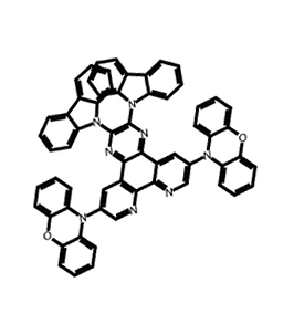 c1ccc2c(c1)Oc1ccccc1N2c1cnc2c(c1)c1nc(-n3c4ccccc4c4ccccc43)c(-n3c4ccccc4c4ccccc43)nc1c1cc(N3c4ccccc4Oc4ccccc43)cnc12